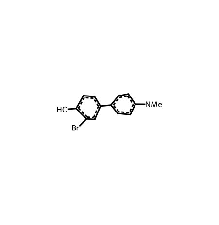 CNc1ccc(-c2ccc(O)c(Br)c2)cc1